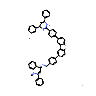 C=N/C(=C\C(=N/Cc1ccc(-c2ccc3sc4ccc(-c5ccc(-c6nc(-c7ccccc7)cc(-c7ccccc7)n6)cc5)cc4c3c2)cc1)c1ccccc1)c1ccccc1